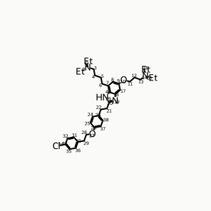 CCN(CC)CCCCc1cc(OCCCN(CC)CC)cc2nc(CCc3ccc(OCCc4ccc(Cl)cc4)cc3)[nH]c12